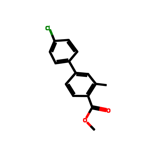 COC(=O)c1ccc(-c2ccc(Cl)cc2)cc1C